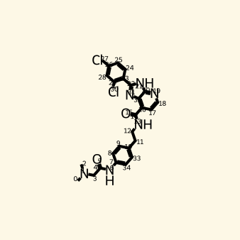 CN(C)CC(=O)Nc1ccc(CCNC(=O)c2ccnc3[nH]c(-c4ccc(Cl)cc4Cl)nc23)cc1